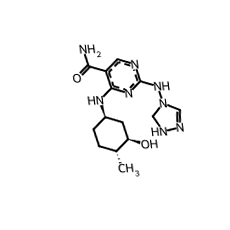 C[C@@H]1CC[C@@H](Nc2nc(NN3C=NNC3)ncc2C(N)=O)C[C@H]1O